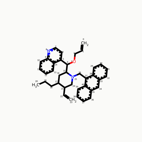 C=CCOC(c1ccnc2ccccc12)C1CC(CCC)C(C=C)CN1Cc1c2ccccc2cc2ccccc12